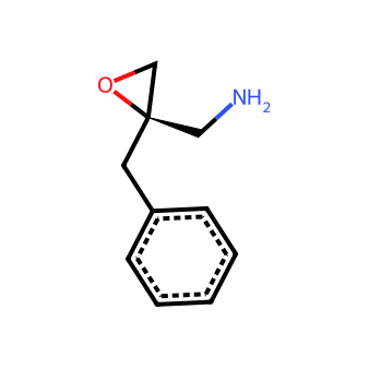 NC[C@]1(Cc2ccccc2)CO1